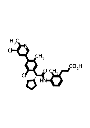 Cc1cc([C@H](C(=O)Nc2cccc(CCC(=O)O)c2C)C2CCCC2)c(Cl)cc1-c1cnc(C)c(Cl)c1